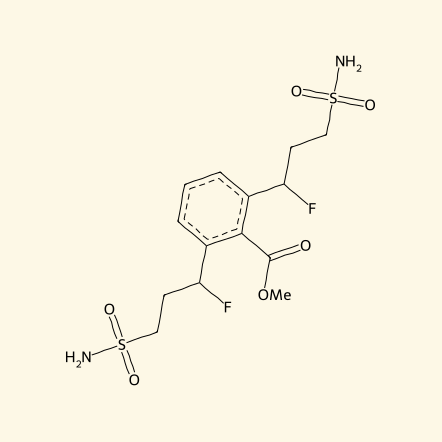 COC(=O)c1c(C(F)CCS(N)(=O)=O)cccc1C(F)CCS(N)(=O)=O